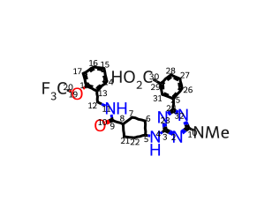 CNc1nc(NC2CCC(C(=O)NCc3ccccc3OC(F)(F)F)CC2)nc(-c2cccc(C(=O)O)c2)n1